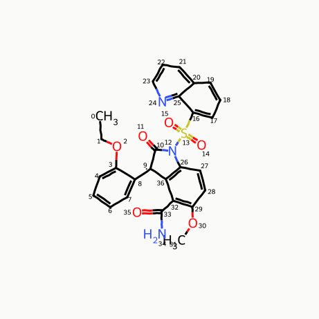 CCOc1ccccc1[C]1C(=O)N(S(=O)(=O)c2cccc3cccnc23)c2ccc(OC)c(C(N)=O)c21